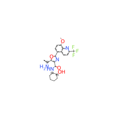 COc1ccc(-c2nc(C(=O)N[C@H]3CCCC[C@H]3O)c([C@H](C)N)o2)c2ccc(C(F)(F)F)nc12